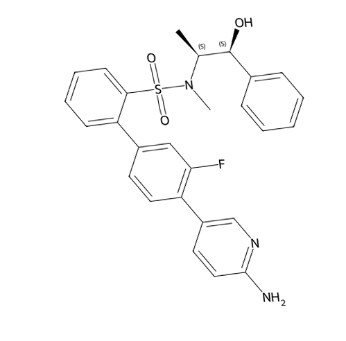 C[C@@H]([C@@H](O)c1ccccc1)N(C)S(=O)(=O)c1ccccc1-c1ccc(-c2ccc(N)nc2)c(F)c1